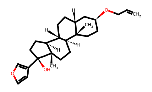 C=CCO[C@H]1CC[C@@]2(C)[C@H](CC[C@@H]3[C@@H]2CC[C@@]2(C)[C@H]3CC[C@@]2(O)c2ccoc2)C1